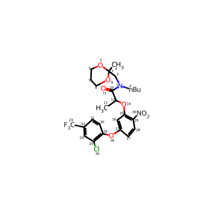 CCCCN(CC1(C)OCCCO1)C(=O)C(C)Oc1cc(Oc2ccc(C(F)(F)F)cc2Cl)ccc1[N+](=O)[O-]